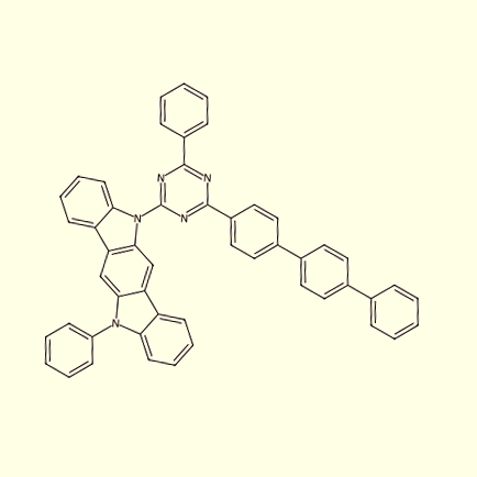 c1ccc(-c2ccc(-c3ccc(-c4nc(-c5ccccc5)nc(-n5c6ccccc6c6cc7c(cc65)c5ccccc5n7-c5ccccc5)n4)cc3)cc2)cc1